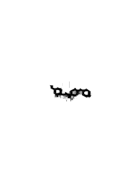 COc1cc(CC(=O)O)ccc1OCC(=O)N1CCN(Cc2ccc(Cl)cc2)CC1